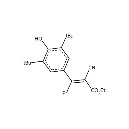 CCOC(=O)C(C#N)=C(c1cc(C(C)(C)C)c(O)c(C(C)(C)C)c1)C(C)C